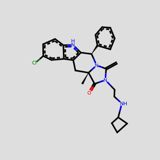 C=C1N(CCNC2CCC2)C(=O)[C@]2(C)Cc3c([nH]c4ccc(Cl)cc34)[C@@H](c3ccccc3)N12